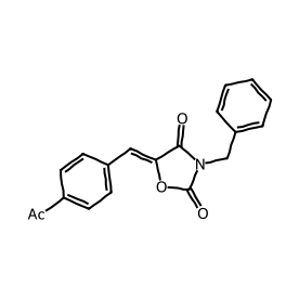 CC(=O)c1ccc(/C=C2\OC(=O)N(Cc3ccccc3)C2=O)cc1